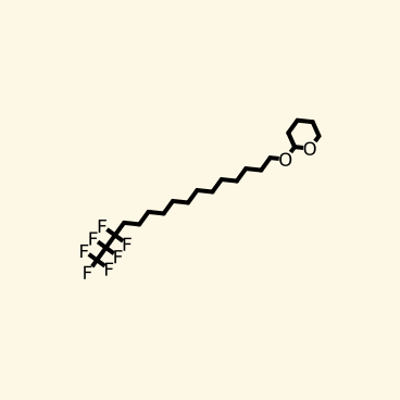 FC(F)(F)C(F)(F)C(F)(F)CCCCCCCCCCCCCOC1CCCCO1